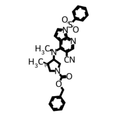 C[C@@H]1CN(C(=O)OCc2ccccc2)CC1N(C)c1c(C#N)cnc2c1ccn2S(=O)(=O)c1ccccc1